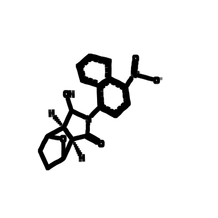 O=C1[C@H]2C3CCC(O3)[C@H]2C(O)N1c1ccc([N+](=O)[O-])c2ccccc12